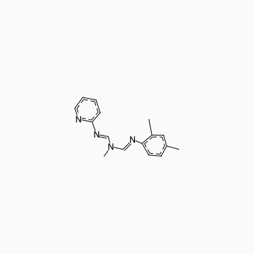 Cc1ccc(N=CN(C)C=Nc2ccccn2)c(C)c1